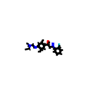 CCN(C)C=Nc1cc(C)c(C(=O)CNc2ccccc2F)cc1C